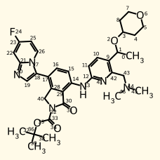 CC(OC1CCOCC1)c1ccc(Nc2ccc(-c3cnc4cc(F)ccn34)c3c2C(=O)N(C(=O)OC(C)(C)C)C3)nc1CN(C)C